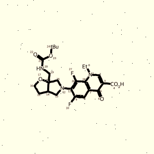 CCn1cc(C(=O)O)c(=O)c2cc(F)c(N3CC4CCOC4(CNC(=O)OC(C)(C)C)C3)c(F)c21